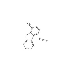 [F-].[F-].[F-].[Zr+3][c]1cccc2c1Cc1ccccc1-2